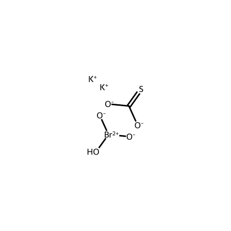 [K+].[K+].[O-]C([O-])=S.[O-][Br+2]([O-])O